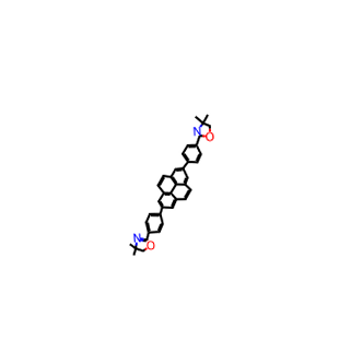 CC1(C)COC(c2ccc(-c3cc4ccc5cc(-c6ccc(C7=NC(C)(C)CO7)cc6)cc6ccc(c3)c4c56)cc2)=N1